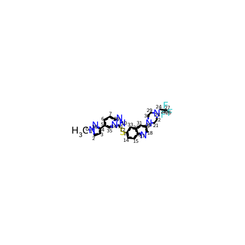 Cn1ccc(-c2ccc3nnc(Sc4ccc5ncc(N6CCN(CC(F)(F)F)CC6)cc5c4)n3c2)n1